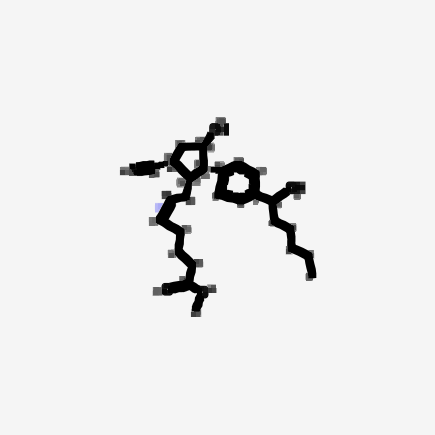 CCCCCC(O)c1ccc([C@@H]2[C@@H](C/C=C\CCCC(=O)OC)[C@H](C#N)C[C@H]2O)cc1